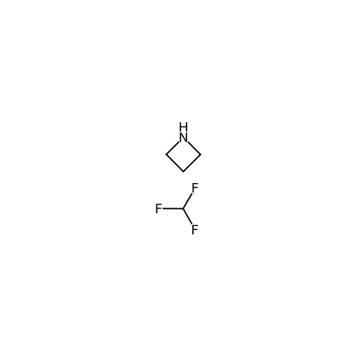 C1CNC1.FC(F)F